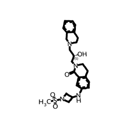 CS(=O)(=O)N1CC(Nc2ccc3c(c2)C(=O)N(C[C@@H](O)CN2CCc4ccccc4C2)CC3)C1